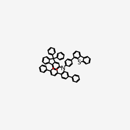 c1ccc(-c2ccc(-c3ccc(-c4ccccc4)cc3N(c3ccc(-c4cccc5c4sc4ccccc45)cc3)c3ccc4c(c3)C(c3ccccc3)(c3ccccc3)c3ccccc3-4)cc2)cc1